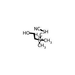 C[N+](C)(C)CCO.N#CS